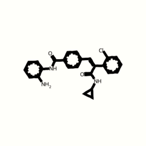 Nc1ccccc1NC(=O)c1ccc(C=C(C(=O)NC2CC2)c2ccccc2Cl)cc1